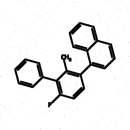 Cc1c(-c2cccc3ccccc23)ccc(F)c1-c1ccccc1